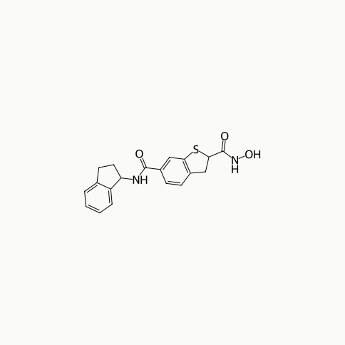 O=C(NC1CCc2ccccc21)c1ccc2c(c1)SC(C(=O)NO)C2